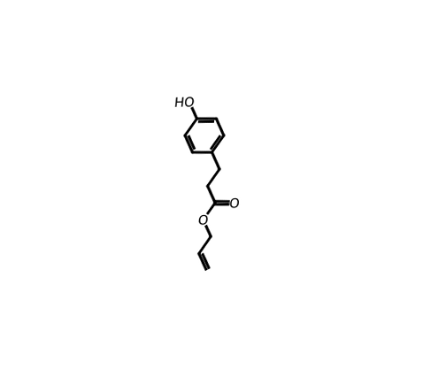 C=CCOC(=O)CCc1ccc(O)cc1